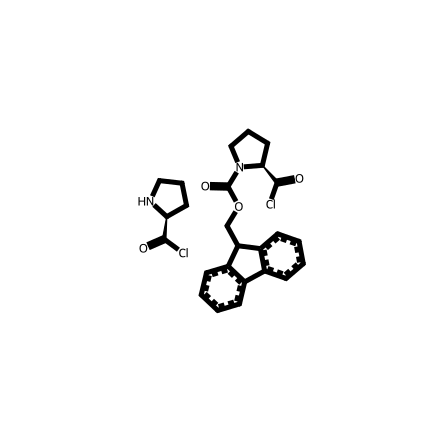 O=C(Cl)[C@@H]1CCCN1.O=C(Cl)[C@@H]1CCCN1C(=O)OCC1c2ccccc2-c2ccccc21